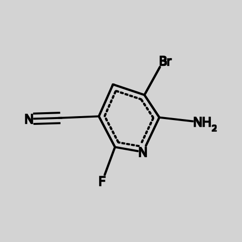 N#Cc1cc(Br)c(N)nc1F